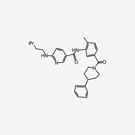 Cc1ccc(C(=O)N2CCC(c3ccccc3)CC2)cc1NC(=O)c1ccc(NCCC(C)C)nc1